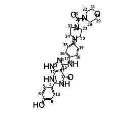 O=C1NC(c2ccc(O)cc2)Nc2[nH]nc(Nc3ccc(N4CCN(C(=O)N5CCOCC5)CC4)cc3)c21